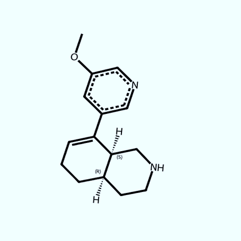 COc1cncc(C2=CCC[C@@H]3CCNC[C@H]23)c1